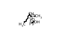 CCCCCCC(C)C(=O)OCC.O=C(O)C(F)(F)F